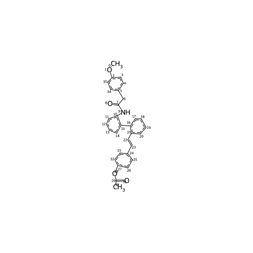 COc1ccc(CC(=O)Nc2ccccc2-c2ccccc2/C=C/c2ccc(OC(C)=O)cc2)cc1